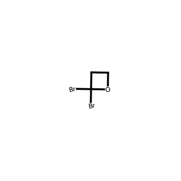 BrC1(Br)CCO1